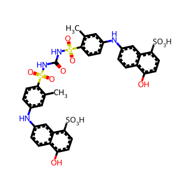 Cc1cc(Nc2ccc3c(O)ccc(S(=O)(=O)O)c3c2)ccc1S(=O)(=O)NC(=O)NS(=O)(=O)c1ccc(Nc2ccc3c(O)ccc(S(=O)(=O)O)c3c2)cc1C